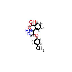 Cc1ccc(Oc2cn[nH]c2-c2ccccc2C(=O)O)cc1